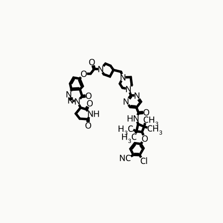 CC1(C)C(NC(=O)c2cnc(N3CCN(CC4CCN(C(=O)COc5ccc6nnn(C7CCC(=O)NC7=O)c(=O)c6c5)CC4)CC3)nc2)C(C)(C)C1Oc1ccc(C#N)c(Cl)c1